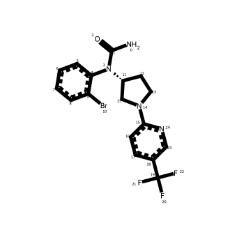 NC(=O)N(c1ccccc1Br)[C@@H]1CCN(c2ccc(C(F)(F)F)cn2)C1